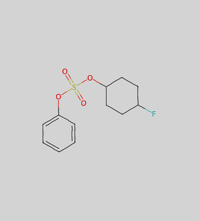 O=S(=O)(Oc1ccccc1)OC1CCC(F)CC1